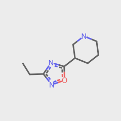 CCc1noc(C2CCC[N]C2)n1